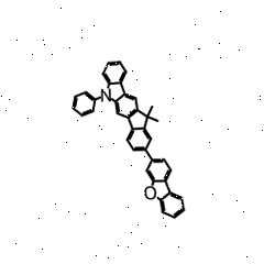 CC1(C)c2cc(-c3ccc4c(c3)oc3ccccc34)ccc2-c2cc3c(cc21)c1ccccc1n3-c1ccccc1